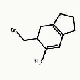 CC1=CC2=C(CCC2)CC1CBr